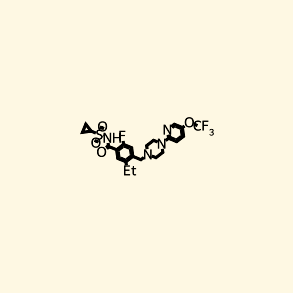 CCc1cc(C(=O)NS(=O)(=O)C2CC2)c(F)cc1CN1CCN(c2ccc(OC(F)(F)F)cn2)CC1